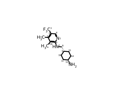 Cc1c(C(F)(F)F)cnc(NC[C@H]2CC[C@H](N)CC2)c1C